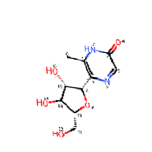 Cc1[nH]c(=O)cnc1[C@@H]1O[C@H](CO)C(O)[C@@H]1O